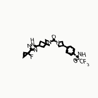 N=S(=O)(c1ccc(C2CN(C(=O)N3CC4(CC(c5nc(C6(F)CC6)n[nH]5)C4)C3)C2)cc1)C(F)(F)F